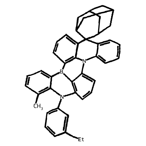 CCc1cccc(N2c3cccc4c3B(c3cccc(C)c32)c2cccc3c2N4c2ccccc2C32C3CC4CC(C3)CC2C4)c1